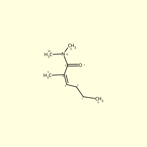 CCCC=C(C)C(=O)N(C)C